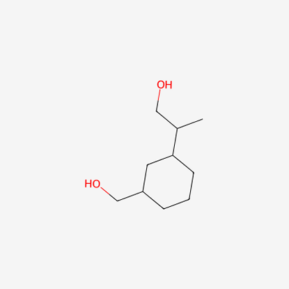 CC(CO)C1CCCC(CO)C1